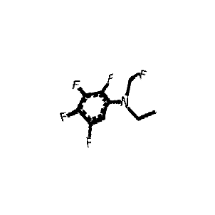 CCN(CF)c1cc(F)c(F)c(F)c1F